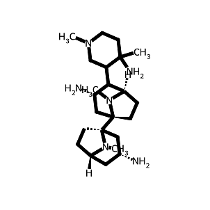 CN1CCC(C)(N)C(C2[C@H]3CC[C@@]([C@@]45CC[C@@H](C[C@@H](N)C4)N5C)(C[C@@H]2N)N3C)C1